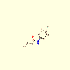 C=CCC(=O)Nc1ccc(F)cc1